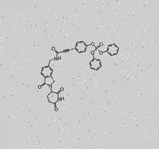 O=C(C#Cc1ccc(OP(=O)(Oc2ccccc2)Oc2ccccc2)cc1)NCc1ccc2c(c1)CN(C1CCC(=O)NC1=O)C2=O